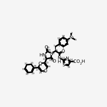 CN(C)c1ccc(C[C@@H](C(=O)Nc2nc(C(=O)O)cs2)N2C(=O)NC(C3=COC=C(C4=CC=CCC4)O3)C2=O)cc1